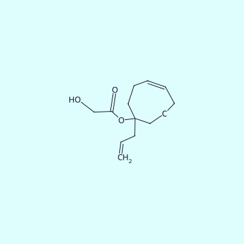 C=CCC1(OC(=O)CO)CC/C=C\CCC1